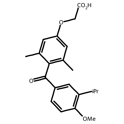 COc1ccc(C(=O)c2c(C)cc(OCC(=O)O)cc2C)cc1C(C)C